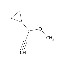 C#CC(OC)C1CC1